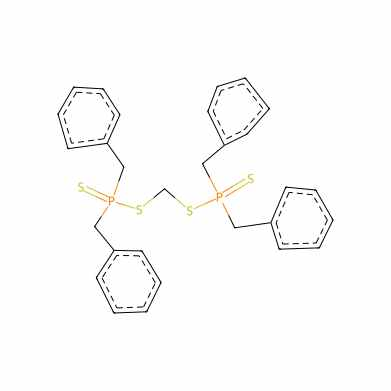 S=P(Cc1ccccc1)(Cc1ccccc1)SCSP(=S)(Cc1ccccc1)Cc1ccccc1